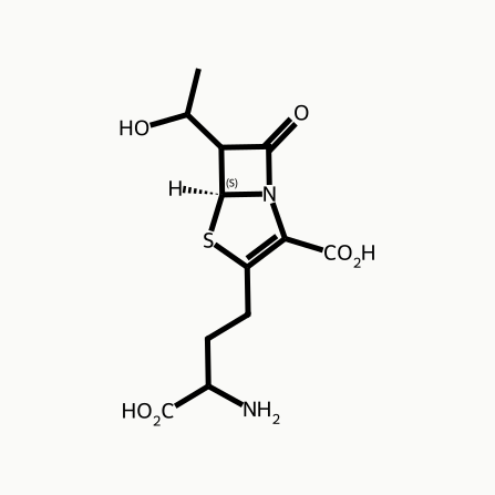 CC(O)C1C(=O)N2C(C(=O)O)=C(CCC(N)C(=O)O)S[C@@H]12